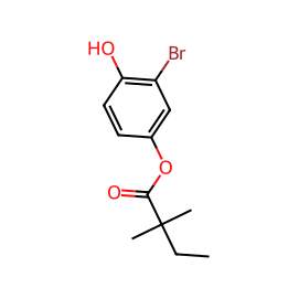 CCC(C)(C)C(=O)Oc1ccc(O)c(Br)c1